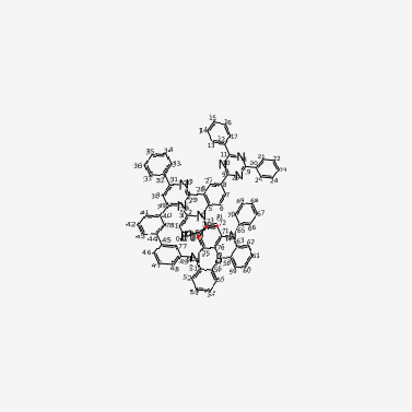 CC/C=C(/C)N(c1ccc(-c2nc(-c3ccccc3)nc(-c3ccccc3)n2)cc1-c1nc(-c2ccccc2)cc(-c2cccc(-c3cccc(N4c5ccccc5B5c6ccccc6N(c6ccccc6)c6cccc4c65)c3)c2)n1)C(C)C(C)C